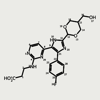 O=C(O)CCNc1nccc(-c2[nH]c(C3OCC(CO)CO3)nc2-c2ccc(F)cc2)n1